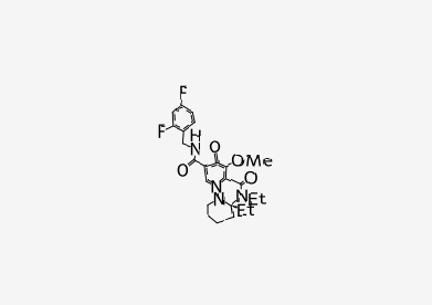 CCN1C(=O)c2c(OC)c(=O)c(C(=O)NCc3ccc(F)cc3F)cn2N2CCCC[C@@]12CC